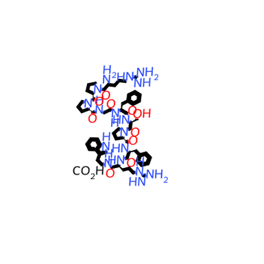 N=C(N)NCCC[C@H](NC(=O)[C@H](Cc1ccccc1)NC(=O)[C@@H]1CCCN1C(=O)[C@H](CO)NC(=O)[C@H](Cc1ccccc1)NC(=O)CNC(=O)[C@@H]1CCCN1C(=O)[C@@H]1CCCN1C(=O)[C@@H](N)CCCNC(=N)N)C(=O)N[C@@H](Cc1c[nH]c2ccccc12)C(=O)O